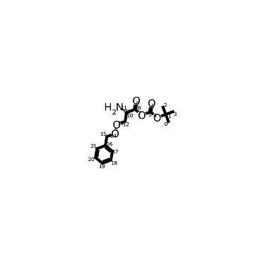 CC(C)(C)OC(=O)OC(=O)[C@@H](N)COOCc1ccccc1